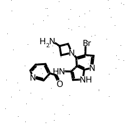 NC1CN(c2c(Br)cnc3[nH]cc(NC(=O)c4cccnc4)c23)C1